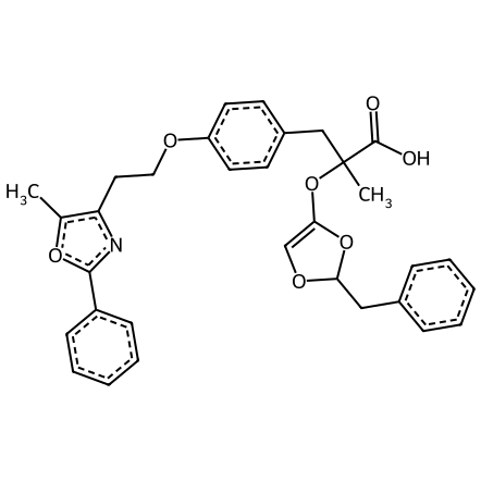 Cc1oc(-c2ccccc2)nc1CCOc1ccc(CC(C)(OC2=COC(Cc3ccccc3)O2)C(=O)O)cc1